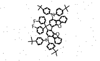 CC(C)(C)c1ccc(N(c2ccc(C(C)(C)C)cc2)c2cc3c(c4oc5ccccc5c24)-c2c(cc(N(c4ccc(C(C)(C)C)cc4)c4ccc(C(C)(C)C)cc4)c4c2oc2ccccc24)C3(c2cccc(F)c2)c2cccc(F)c2)cc1